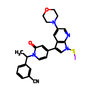 CC(c1cccc(C#N)c1)n1ccc(-c2cn(SI)c3ncc(N4CCOCC4)cc23)cc1=O